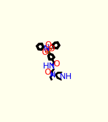 CCN(C(=O)CNC(=O)c1ccc(S(=O)(=O)N(Oc2ccccc2)c2ccccc2)cc1)C1CCNCC1